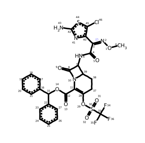 CO/N=C(\C(=O)NC1C(=O)N2C(C(=O)OC(c3ccccc3)c3ccccc3)=C(OS(=O)(=O)C(F)(F)F)CCC12)c1nc(N)sc1Cl